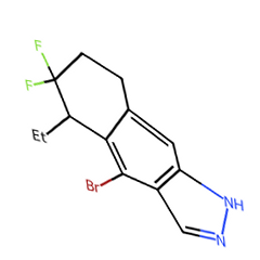 CCC1c2c(cc3[nH]ncc3c2Br)CCC1(F)F